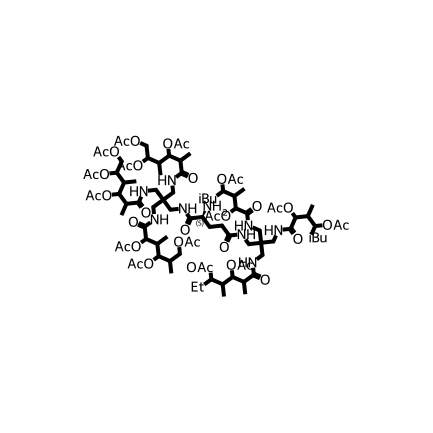 CCC(C)C(OC(C)=O)C(C)C(OC(C)=O)C(=O)NCC(CNC(=O)CC[C@H](N)C(=O)NCC(CNC(=O)C(C)C(OC(C)=O)C(C)C(COC(C)=O)OC(C)=O)(CNC(=O)C(C)C(OC(C)=O)C(C)C(COC(C)=O)OC(C)=O)CNC(=O)C(OC(C)=O)C(C)C(OC(C)=O)C(C)COC(C)=O)(CNC(=O)C(C)C(OC(C)=O)C(C)C(CC)OC(C)=O)CNC(=O)C(OC(C)=O)C(C)C(OC(C)=O)C(C)CC